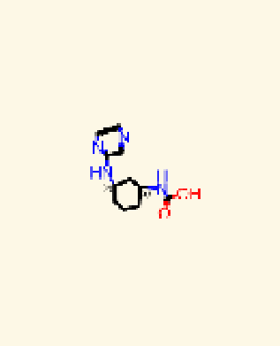 O=C(O)N[C@H]1CCC[C@@H](Nc2cnccn2)C1